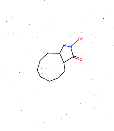 O=C1C2CCCCCCCC2CN1O